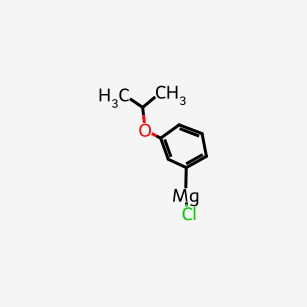 CC(C)Oc1ccc[c]([Mg][Cl])c1